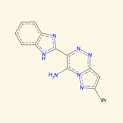 CC(C)c1cc2nnc(-c3nc4ccccc4[nH]3)c(N)n2n1